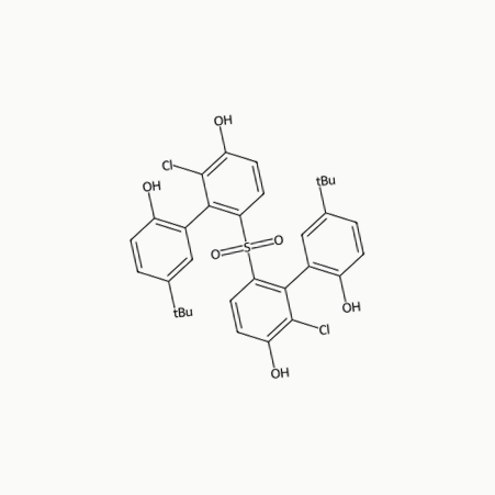 CC(C)(C)c1ccc(O)c(-c2c(S(=O)(=O)c3ccc(O)c(Cl)c3-c3cc(C(C)(C)C)ccc3O)ccc(O)c2Cl)c1